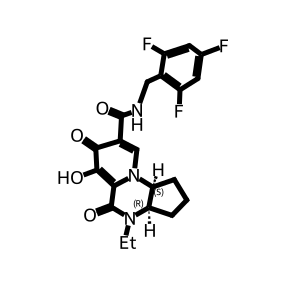 CCN1C(=O)c2c(O)c(=O)c(C(=O)NCc3c(F)cc(F)cc3F)cn2[C@H]2CCC[C@H]21